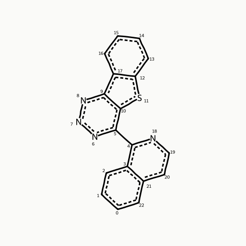 c1ccc2c(-c3nnnc4c3sc3ccccc34)nccc2c1